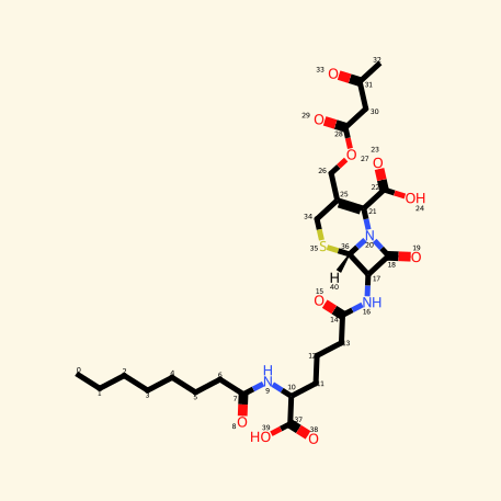 CCCCCCCC(=O)NC(CCCC(=O)NC1C(=O)N2C(C(=O)O)=C(COC(=O)CC(C)=O)CS[C@@H]12)C(=O)O